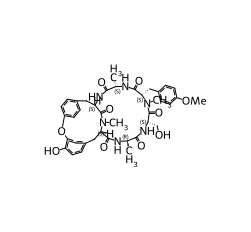 COc1ccc(C[C@H]2C(=O)N[C@@H](C)C(=O)N[C@H]3Cc4ccc(cc4)Oc4cc(ccc4O)C[C@@H](C(=O)N[C@H](C)C(=O)N[C@@H](CO)C(=O)N2C)N(C)C3=O)cc1